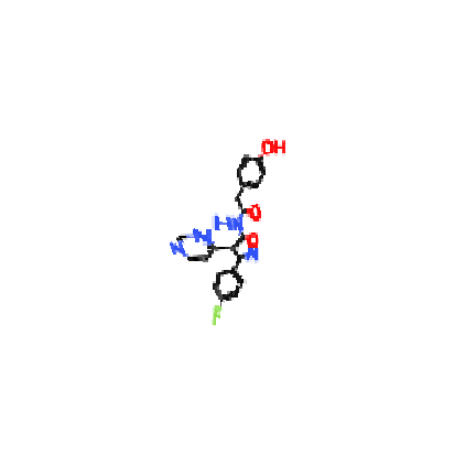 O=C(Cc1ccc(O)cc1)Nc1onc(-c2ccc(F)cc2)c1-c1ccncn1